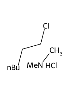 CCCCCCCl.CNC.Cl